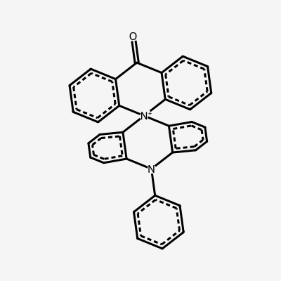 O=C1c2ccccc2[N+]2(c3ccccc31)c1ccccc1N(c1ccccc1)c1ccccc12